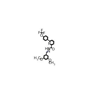 COc1cc(/C=N/NC(=O)c2cccc(-c3ccc(OC(F)(F)F)cc3)n2)cc(OC)c1